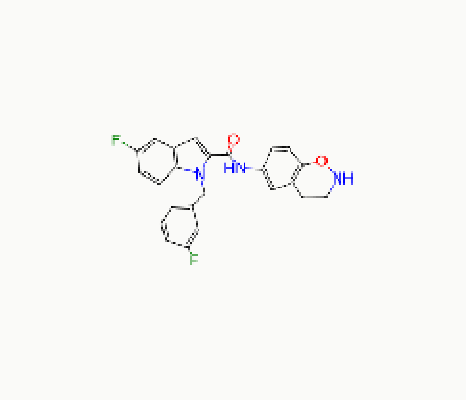 O=C(Nc1ccc2c(c1)CCNO2)c1cc2cc(F)ccc2n1Cc1cccc(F)c1